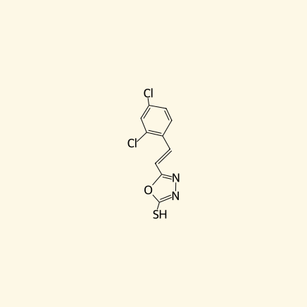 Sc1nnc(C=Cc2ccc(Cl)cc2Cl)o1